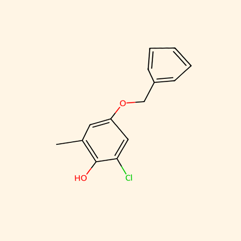 Cc1cc(OCc2ccccc2)cc(Cl)c1O